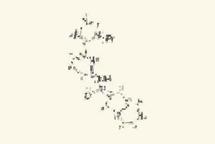 CC(C)n1cnnc1-c1cccc(NC(=O)N2Cc3ccncc3C2)n1